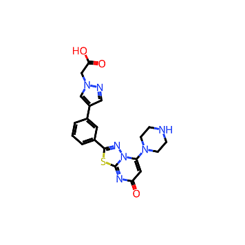 O=C(O)Cn1cc(-c2cccc(-c3nn4c(N5CCNCC5)cc(=O)nc4s3)c2)cn1